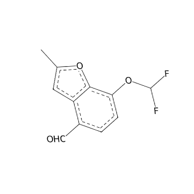 Cc1cc2c(C=O)ccc(OC(F)F)c2o1